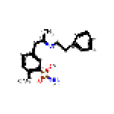 COc1ccc(CC(C)NCCc2ccccc2)cc1S(N)(=O)=O